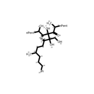 CCCCCC(C)C(=O)C(O)(C(=O)C(C)CCCCC)C(O)(CO)C(=O)CCC(C)CCCC(C)C